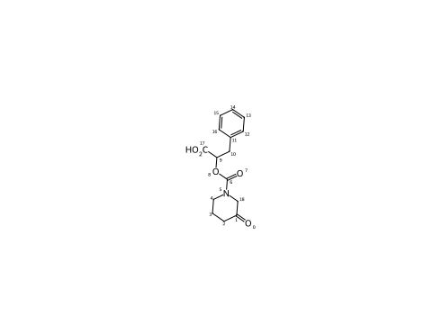 O=C1CCCN(C(=O)OC(Cc2ccccc2)C(=O)O)C1